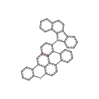 c1ccc2c(c1)Sc1ccc(-c3ccccc3-c3ccccc3-n3c4ccccc4c4ccc5ccccc5c43)c3cccc-2c13